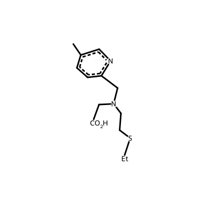 CCSCCN(CC(=O)O)Cc1ccc(C)cn1